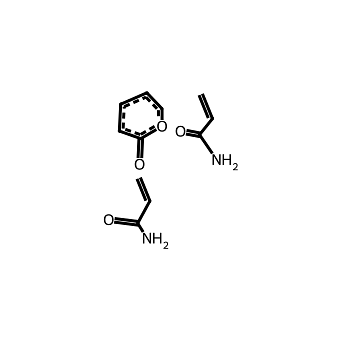 C=CC(N)=O.C=CC(N)=O.O=c1cccco1